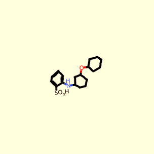 O=S(=O)(O)c1ccccc1NC1CCCC(OC2CCCCC2)C1